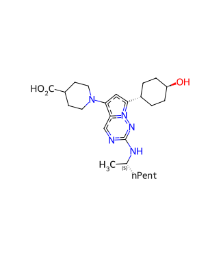 CCCCC[C@H](C)Nc1ncc2c(N3CCC(C(=O)O)CC3)cc([C@H]3CC[C@H](O)CC3)n2n1